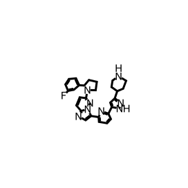 Fc1cccc(C2CCCN2c2ccc3ncc(-c4cccc(-c5cc(C6CCNCC6)n[nH]5)n4)n3n2)c1